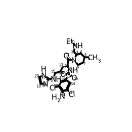 CCNCC1CC(C)CCN1C(=O)[C@H](CCCNc1ncc[nH]1)NS(=O)(=O)c1cc(Cl)c(N)c(Cl)c1